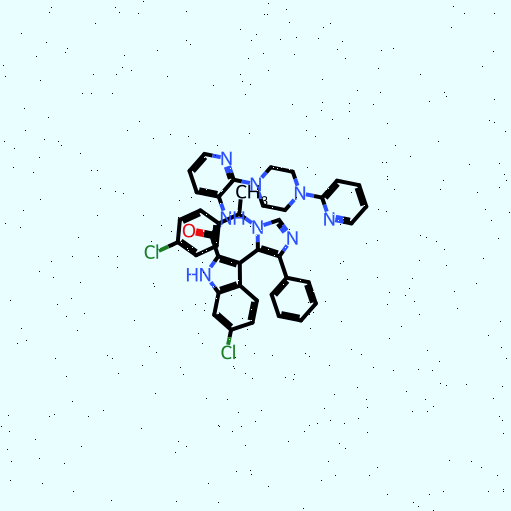 CC(c1ccc(Cl)cc1)n1cnc(-c2ccccc2)c1-c1c(C(=O)Nc2cccnc2N2CCN(c3ccccn3)CC2)[nH]c2cc(Cl)ccc12